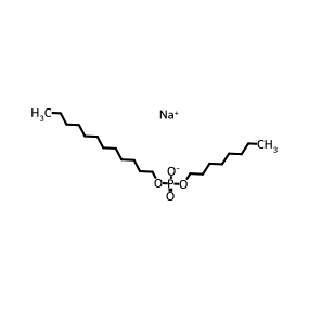 CCCCCCCCCCCCOP(=O)([O-])OCCCCCCCC.[Na+]